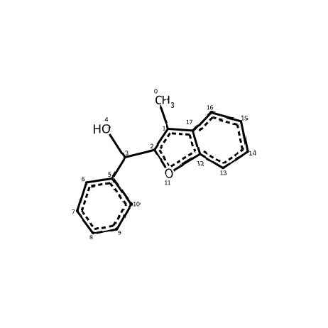 Cc1c(C(O)c2ccccc2)oc2ccccc12